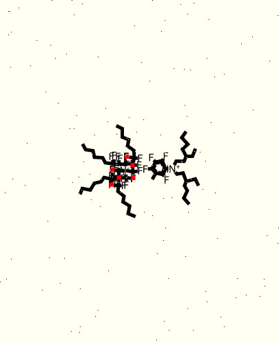 CCCCC(CC)CC[NH+](CCC(CC)CCCC)c1c(F)c(C)c(F)c(F)c1F.CCCCCCC(F)(F)C(F)(F)[C](F)(F)[Al-]([C](F)(F)C(F)(F)C(F)(F)CCCCCC)([C](F)(F)C(F)(F)C(F)(F)CCCCCC)[C](F)(F)C(F)(F)C(F)(F)CCCCCC